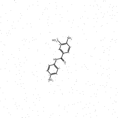 Nc1ccc(C(=O)Nc2ccc([N+](=O)[O-])cc2)cc1S(=O)(=O)O